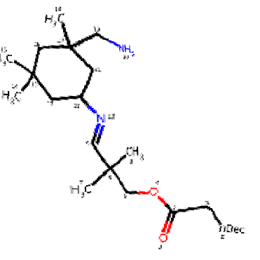 CCCCCCCCCCCC(=O)OCC(C)(C)C=NC1CC(C)(C)CC(C)(CN)C1